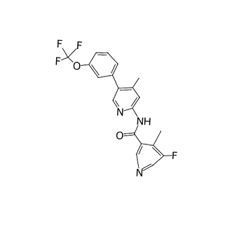 Cc1cc(NC(=O)c2cncc(F)c2C)ncc1-c1cccc(OC(F)(F)F)c1